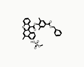 COS(=O)(=O)O.Cc1cc(C(=O)OCc2ccccc2)cc(C)c1OC(=O)c1c2ccccc2nc2cc(C)c3ccccc3c12